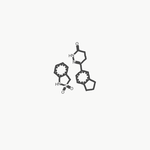 O=C1CCC(c2ccc3c(c2)CCC3)=NN1.O=S1(=O)Cc2ccccc2N1